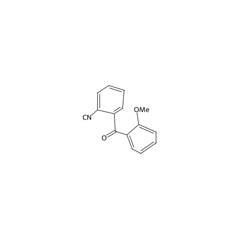 [C-]#[N+]c1ccccc1C(=O)c1ccccc1OC